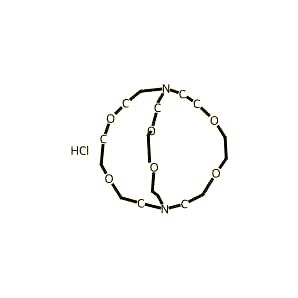 C1COCCN2CCOCCOCCN(CCO1)CCOCCOCC2.Cl